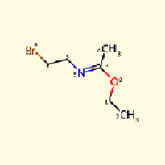 CCOC(C)=NCCBr